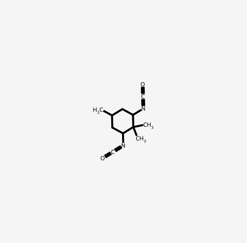 CC1CC(N=C=O)C(C)(C)C(N=C=O)C1